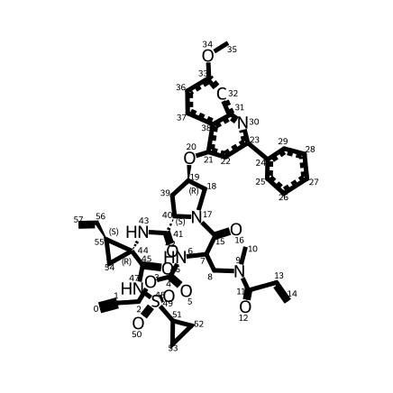 C#CCOC(=O)NC(CN(C)C(=O)C=C)C(=O)N1C[C@H](Oc2cc(-c3ccccc3)nc3cc(OC)ccc23)C[C@H]1C(=O)N[C@]1(C(=O)NS(=O)(=O)C2CC2)C[C@H]1C=C